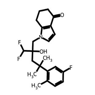 Cc1ccc(F)cc1C(C)(C)CC(O)(Cn1ccc2c1CCCC2=O)C(F)F